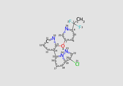 CC(F)(F)c1ccc(Oc2ncccc2-c2cccc3c(Cl)cnn23)cn1